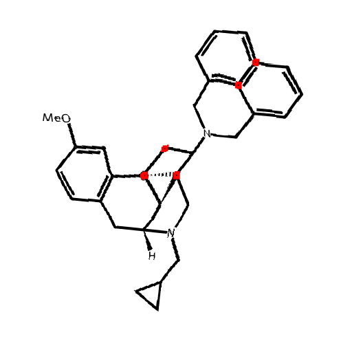 COc1ccc2c(c1)[C@]13CCN(CC4CC4)[C@H](C2)[C@]12CCC(N(Cc1ccccc1)Cc1ccccc1)(CO2)C3